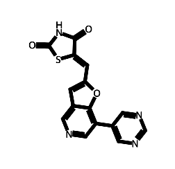 O=C1NC(=O)/C(=C/c2cc3cncc(-c4cncnc4)c3o2)S1